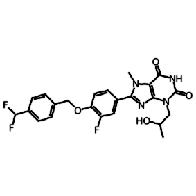 CC(O)Cn1c(=O)[nH]c(=O)c2c1nc(-c1ccc(OCc3ccc(C(F)F)cc3)c(F)c1)n2C